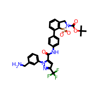 CC(C)(C)OC(=O)N1Cc2cccc(-c3ccc(NC(=O)c4cc(C(F)(F)F)nn4-c4cccc(CN)c4)cc3)c2S1(=O)=O